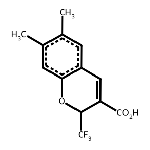 Cc1cc2c(cc1C)OC(C(F)(F)F)C(C(=O)O)=C2